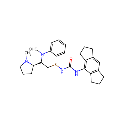 CN1CCC[C@@H]1C(CSNC(=O)Nc1c2c(cc3c1CCC3)CCC2)N(C=O)c1ccccc1